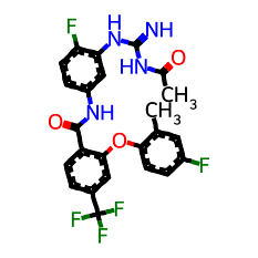 CC(=O)NC(=N)Nc1cc(NC(=O)c2ccc(C(F)(F)F)cc2Oc2ccc(F)cc2C)ccc1F